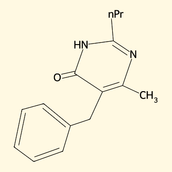 CCCc1nc(C)c(Cc2ccccc2)c(=O)[nH]1